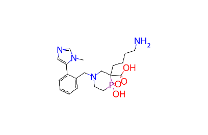 Cn1cncc1-c1ccccc1CN1CCP(=O)(O)C(CCCCN)(C(=O)O)C1